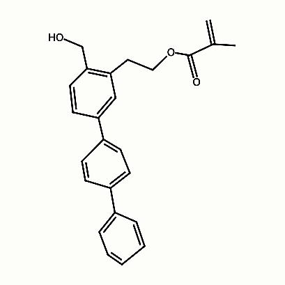 C=C(C)C(=O)OCCc1cc(-c2ccc(-c3ccccc3)cc2)ccc1CO